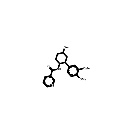 COc1ccc(C2CC(OC(C)=O)CCC2NC(=O)c2cccnc2)cc1OC